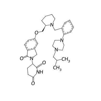 CC(C)CN1CCN(c2ccccc2CN2CCCC[C@@H]2COc2ccc3c(c2)CN(C2CCC(=O)NC2=O)C3=O)CC1